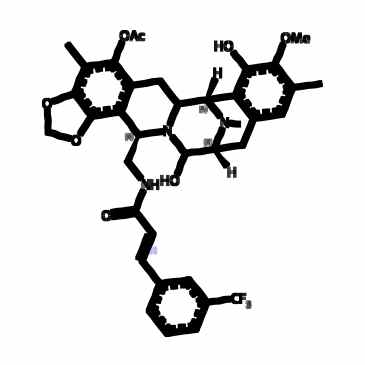 COc1c(C)cc2c(c1O)[C@H]1C3Cc4c(OC(C)=O)c(C)c5c(c4[C@H](CNC(=O)/C=C/c4cccc(C(F)(F)F)c4)N3C(O)[C@@H](C2)N1C)OCO5